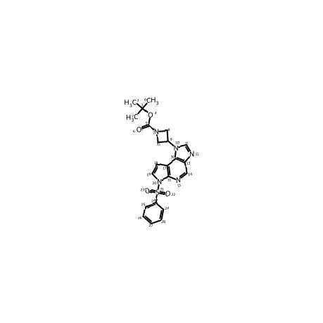 CC(C)(C)OC(=O)N1CC(n2cnc3cnc4c(ccn4S(=O)(=O)c4ccccc4)c32)C1